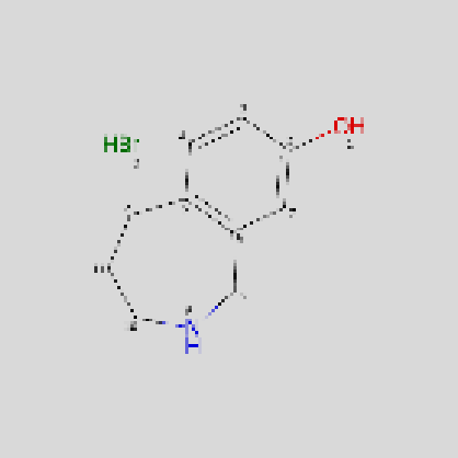 Br.Oc1ccc2c(c1)CNCCC2